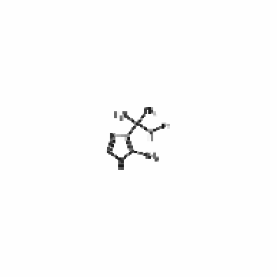 CCNC(C)(N)c1nc[nH]c1N